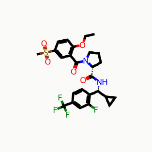 CCOc1ccc(S(C)(=O)=O)cc1C(=O)N1CCC[C@@H]1C(=O)N[C@@H](c1ccc(C(F)(F)F)cc1F)C1CC1